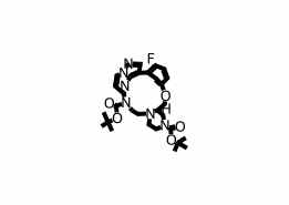 CC(C)(C)OC(=O)N1CCN2CCN(C(=O)OC(C)(C)C)c3ccn4ncc(c4n3)-c3cc(ccc3F)OC[C@@H]2C1